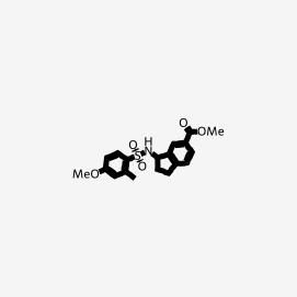 COC(=O)c1ccc2c(c1)C(NS(=O)(=O)c1ccc(OC)cc1C)CC2